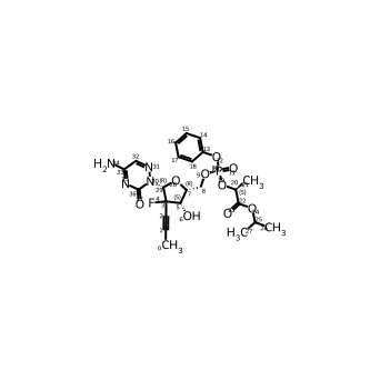 CC#CC1(F)[C@@H](O)[C@@H](CO[P@](=O)(Oc2ccccc2)O[C@@H](C)C(=O)OC(C)C)O[C@H]1n1ncc(N)nc1=O